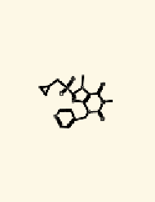 Cn1c(=O)c2c(nc(S(=O)(=O)CC3CC3)n2C)n(Cc2ccncc2)c1=O